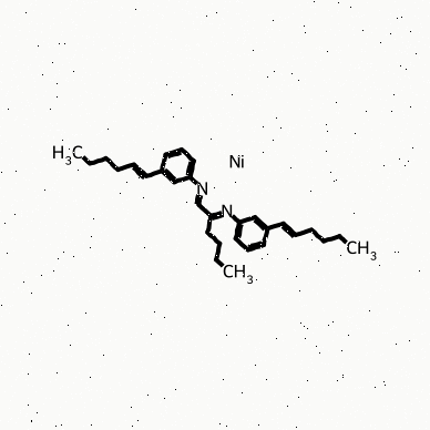 CCCCC=Cc1cccc(N=CC(CCCC)=Nc2cccc(C=CCCCC)c2)c1.[Ni]